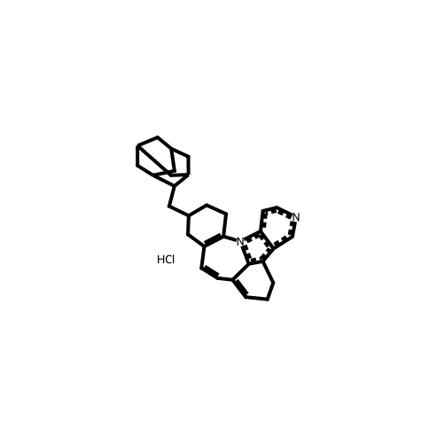 C1=CC2=C(CCC(CC3C4CC5CC(C4)CC3C5)C2)n2c3c(c4cnccc42)CCC=C13.Cl